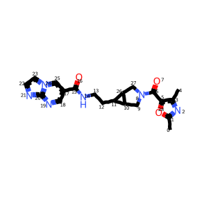 Cc1nc(C)c(C(=O)N2CC3C(CCNC(=O)c4cnc5nccn5c4)C3C2)o1